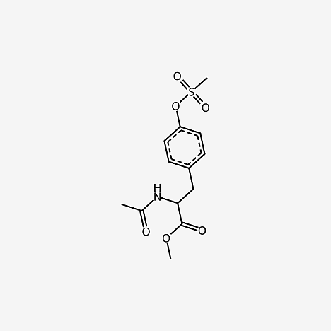 COC(=O)C(Cc1ccc(OS(C)(=O)=O)cc1)NC(C)=O